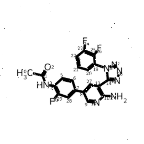 CC(=O)Nc1ccc(-c2cnc(N)c(-c3nnnn3-c3cccc(F)c3F)c2)cc1F